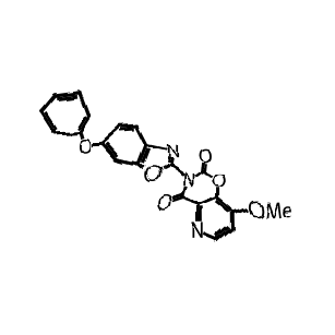 COc1ccnc2c(=O)n(-c3nc4ccc(Oc5ccccc5)cc4o3)c(=O)oc12